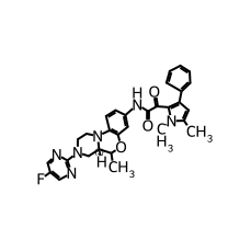 Cc1cc(-c2ccccc2)c(C(=O)C(=O)Nc2ccc3c(c2)OC(C)[C@@H]2CN(c4ncc(F)cn4)CCN32)n1C